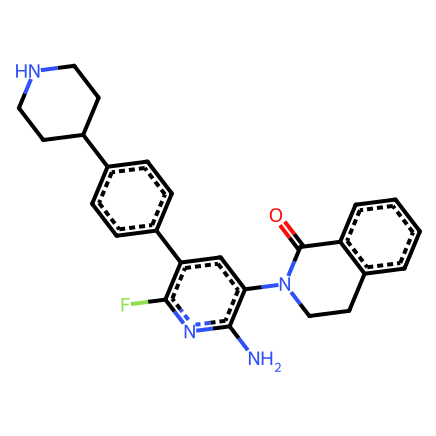 Nc1nc(F)c(-c2ccc(C3CCNCC3)cc2)cc1N1CCc2ccccc2C1=O